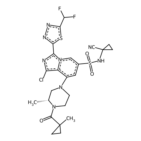 C[C@@H]1CN(c2cc(S(=O)(=O)NC3(C#N)CC3)cn3c(-c4nnc(C(F)F)s4)nc(Cl)c23)CCN1C(=O)C1(C)CC1